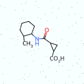 CC1CCCCC1NC(=O)C1CC1C(=O)O